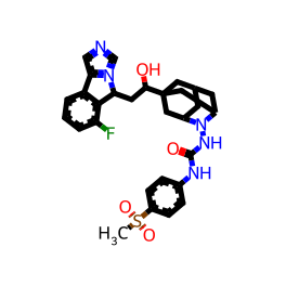 CS(=O)(=O)c1ccc(NC(=O)NN2C3CC4CC2CC(C(O)CC2c5c(F)cccc5-c5cncn52)(C4)C3)cc1